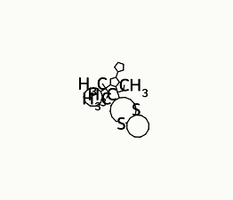 CCC(C)(C1CCCCCCCCC1)C1CC(C2CCCC2)CC1C(C)(CC)C1CCCCCSC2CCCCCCCCCC(C2)SCCC1